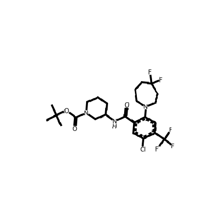 CC(C)(C)OC(=O)N1CCCC(NC(=O)c2cc(Cl)c(C(F)(F)F)cc2N2CCCC(F)(F)CC2)C1